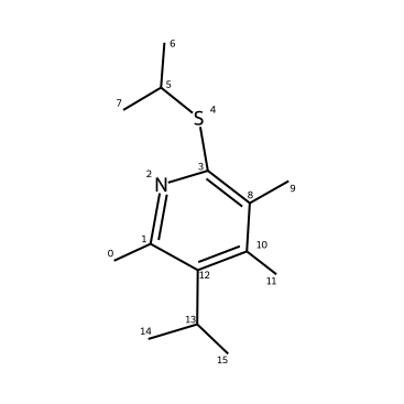 Cc1nc(SC(C)C)c(C)c(C)c1C(C)C